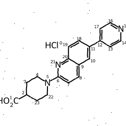 Cl.O=C(O)C1CCN(c2ccc3cc(-c4ccncc4)ccc3n2)CC1